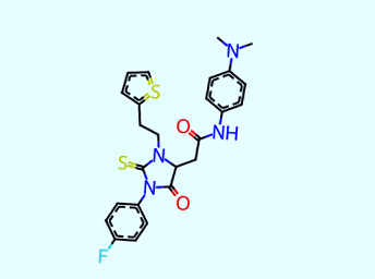 CN(C)c1ccc(NC(=O)CC2C(=O)N(c3ccc(F)cc3)C(=S)N2CCc2cccs2)cc1